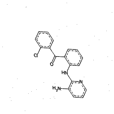 Nc1cccnc1Nc1ccccc1C(=O)c1ccccc1Cl